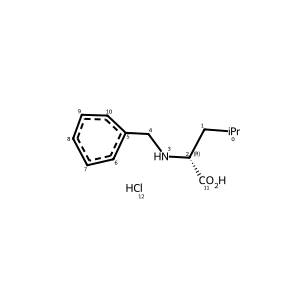 CC(C)C[C@@H](NCc1ccccc1)C(=O)O.Cl